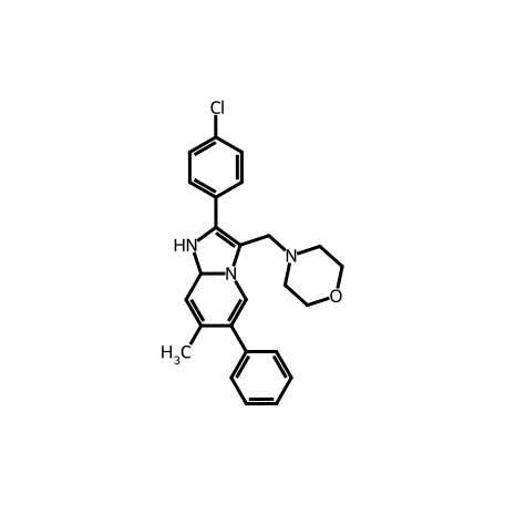 CC1=CC2NC(c3ccc(Cl)cc3)=C(CN3CCOCC3)N2C=C1c1ccccc1